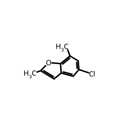 Cc1cc2cc(Cl)cc(C)c2o1